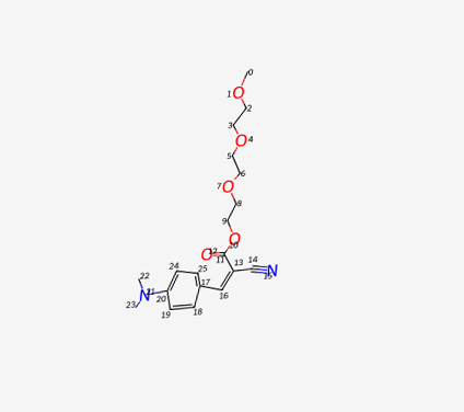 COCCOCCOCCOC(=O)/C(C#N)=C\c1ccc(N(C)C)cc1